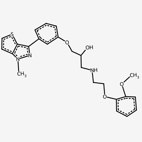 COc1ccccc1OCCNCC(O)COc1cccc(-c2nn(C)c3ccsc23)c1